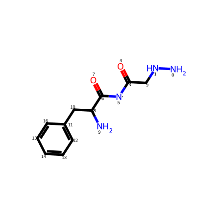 NNCC(=O)[N]C(=O)C(N)Cc1ccccc1